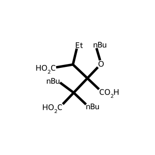 CCCCOC(C(=O)O)(C(CC)C(=O)O)C(CCCC)(CCCC)C(=O)O